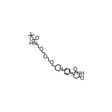 CC(C)(C)OC(=O)NCCOCCOCCOCC1CCN(c2ccc(N3CCC(=O)NC3=O)cc2)CC1